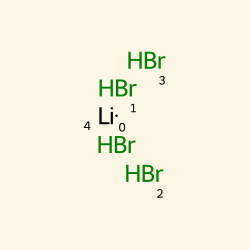 Br.Br.Br.Br.[Li]